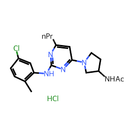 CCCc1cc(N2CCC(NC(C)=O)C2)nc(Nc2cc(Cl)ccc2C)n1.Cl